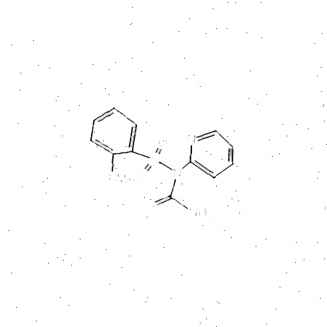 CSc1ccccc1S(=O)(=O)N(C(N)=O)c1ccccn1